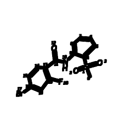 CS(=O)(=O)c1ccccc1NC(=O)c1ccc(Br)cc1F